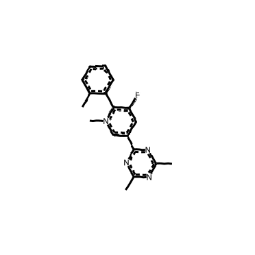 Cc1nc(C)nc(-c2cc(F)c(-c3ccccc3C)[n+](C)c2)n1